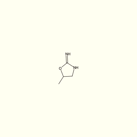 CC1CNC(=N)O1